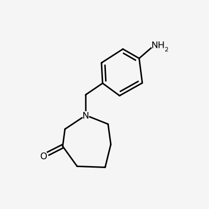 Nc1ccc(CN2CCCCC(=O)C2)cc1